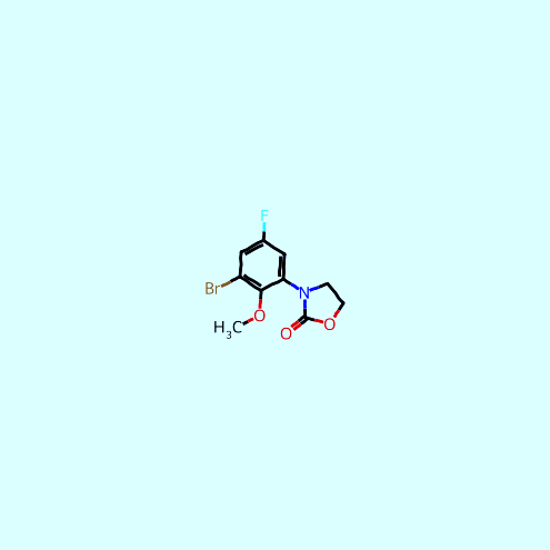 COc1c(Br)cc(F)cc1N1CCOC1=O